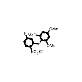 COc1cc(OC)c([I+]c2cc(F)ccc2[N+](=O)[O-])c(OC)c1.[Cl-]